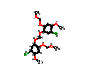 COCOc1cc(OC)c(Br)cc1OBOc1cc(Br)c(OC)cc1OCOC